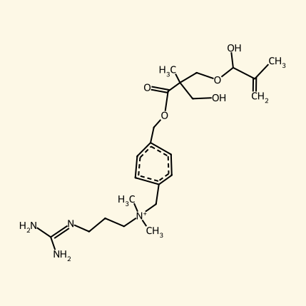 C=C(C)C(O)OCC(C)(CO)C(=O)OCc1ccc(C[N+](C)(C)CCCN=C(N)N)cc1